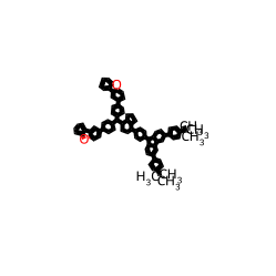 CC(C)(C)c1ccc(C2=CC3C(C=C2)C(C2CCC(C4CCC(C(c5ccc(-c6ccc7oc8ccccc8c7c6)cc5)C5CCC(c6ccc7oc8ccccc8c7c6)CC5)C5CCCC45)CC2)C2CCC(c4ccc(C(C)(C)C)cc4)CC32)cc1